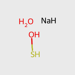 O.OS.[NaH]